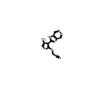 Cc1csc(OCC#N)c1-c1nc2cnncc2[nH]1